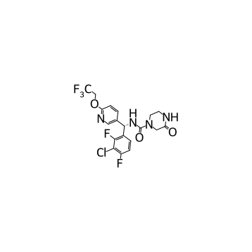 O=C1CN(C(=O)N[C@@H](c2ccc(OCC(F)(F)F)nc2)c2ccc(F)c(Cl)c2F)CCN1